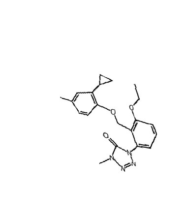 CCOc1cccc(-n2nnn(C)c2=O)c1COc1ccc(C)cc1C1CC1